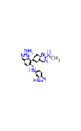 CNc1ncc2cc(-c3c(CNc4ccc5nc[nH]c5c4)ccc4cnc(N)nc34)ccc2n1